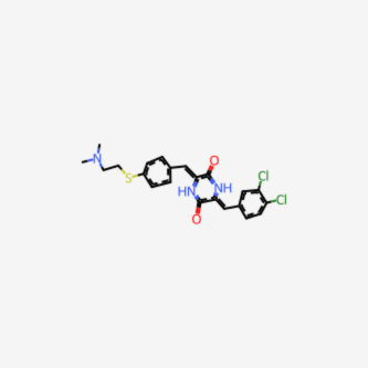 CN(C)CCSc1ccc(C=c2[nH]c(=O)c(=Cc3ccc(Cl)c(Cl)c3)[nH]c2=O)cc1